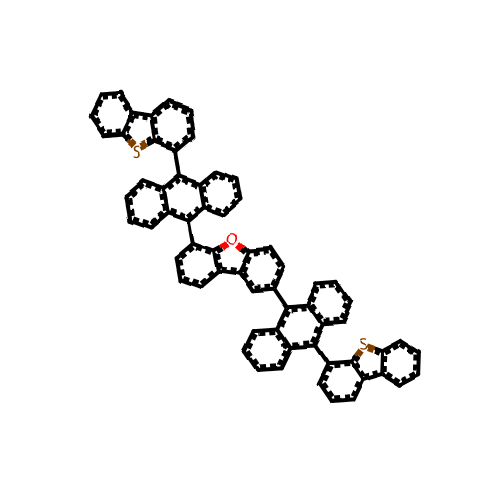 c1ccc2c(c1)sc1c(-c3c4ccccc4c(-c4ccc5oc6c(-c7c8ccccc8c(-c8cccc9c8sc8ccccc89)c8ccccc78)cccc6c5c4)c4ccccc34)cccc12